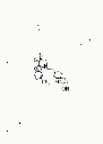 O=C1NCCN(CC[C@H]2CC[C@@]3(CC2)COC(O)O3)c2c1oc1ccc(C(F)(F)F)cc21